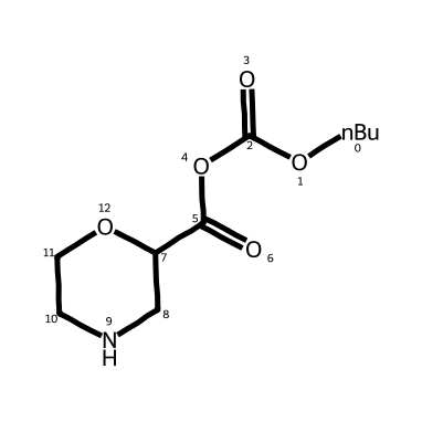 CCCCOC(=O)OC(=O)C1CNCCO1